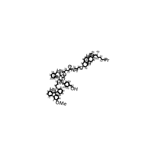 COc1ccc(C(NCCCC[C@H](NC(=O)[C@H](Cc2ccccc2)NC(=O)CCC(=O)NCCCO[C@H]2CC[C@@]3(C)C(=CC[C@H]4[C@@H]5CC[C@H]([C@H](C)CCCC(C)C)[C@@]5(C)CC[C@@H]43)C2)C(=O)Nc2ccc(CO)cc2)(c2ccccc2)c2ccccc2)cc1